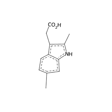 Cc1ccc2c(CC(=O)O)c(C)[nH]c2c1